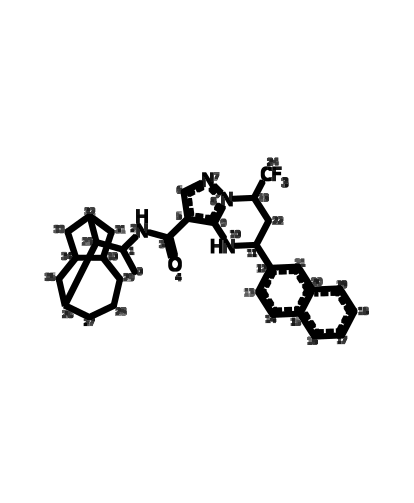 CC(NC(=O)c1cnn2c1NC(c1ccc3ccccc3c1)CC2C(F)(F)F)C1C2CCCC3CC1CC3C2